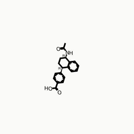 CC(=O)N[C@@H]1CC[C@H](c2ccc(C(=O)O)cc2)c2ccccc21